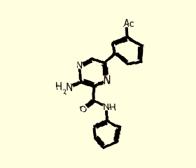 CC(=O)c1cccc(-c2cnc(N)c(C(=O)Nc3ccccc3)n2)c1